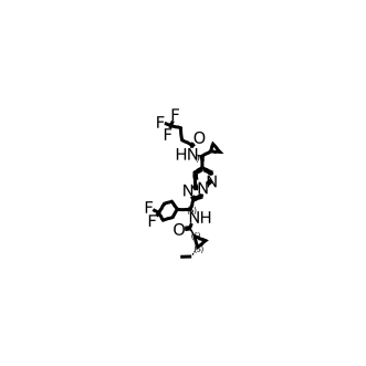 CC[C@H]1C[C@@H]1C(=O)N[C@H](c1cn2ncc([C@H](NC(=O)CCC(F)(F)F)C3CC3)cc2n1)C1CCC(F)(F)CC1